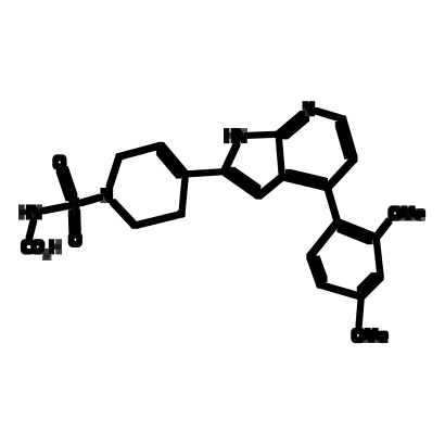 COc1ccc(-c2ccnc3[nH]c(C4=CCN(S(=O)(=O)NC(=O)O)CC4)cc23)c(OC)c1